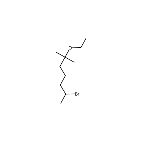 CCOC(C)(C)CCCC(C)Br